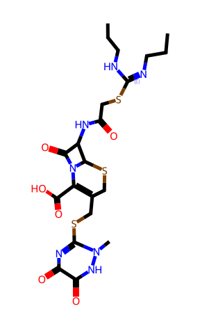 CCC/N=C(\NCCC)SCC(=O)NC1C(=O)N2C(C(=O)O)=C(CSc3nc(=O)c(=O)[nH]n3C)CSC12